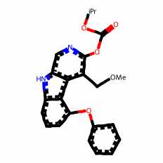 COCc1c(OC(=O)OC(C)C)ncc2[nH]c3cccc(Oc4ccccc4)c3c12